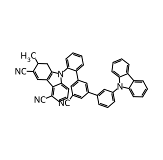 CC1Cc2c(c3c(C#N)cccc3n2-c2ccccc2-c2cc(C#N)cc(-c3cccc(-n4c5ccccc5c5ccccc54)c3)c2)C=C1C#N